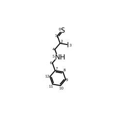 S=[C]C(I)CNCc1ccccc1